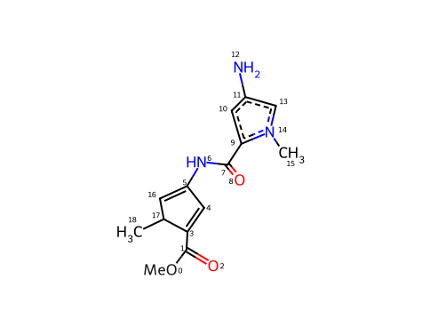 COC(=O)C1=CC(NC(=O)c2cc(N)cn2C)=CC1C